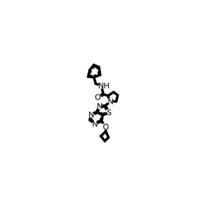 O=C(NCc1ccccc1)C1CCCN1c1nc2ncnc(OC3CCC3)c2s1